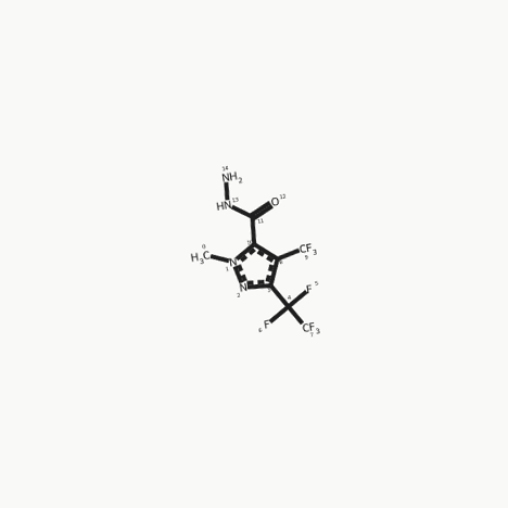 Cn1nc(C(F)(F)C(F)(F)F)c(C(F)(F)F)c1C(=O)NN